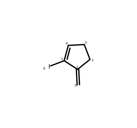 C=C1CCC=C1I